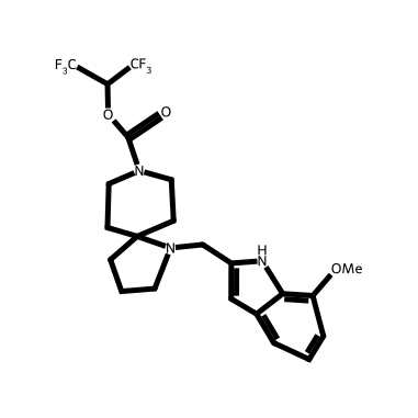 COc1cccc2cc(CN3CCCC34CCN(C(=O)OC(C(F)(F)F)C(F)(F)F)CC4)[nH]c12